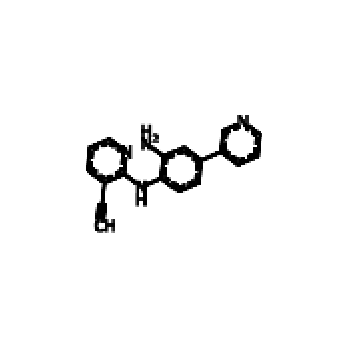 C#Cc1cccnc1Nc1ccc(-c2cccnc2)cc1N